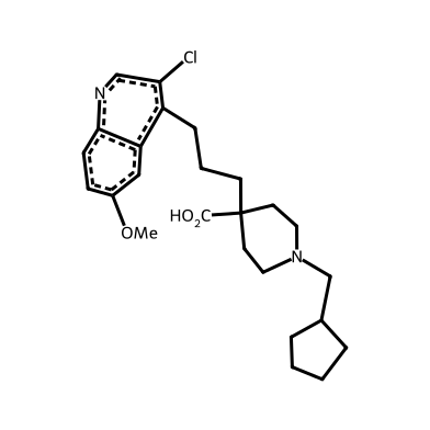 COc1ccc2ncc(Cl)c(CCCC3(C(=O)O)CCN(CC4CCCC4)CC3)c2c1